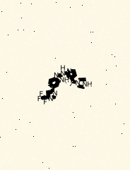 C[C@H](c1ccnc(Nc2nc3ccc(-c4cc(C(F)(F)F)ncn4)cc3[nH]2)c1)N1CCNCC1